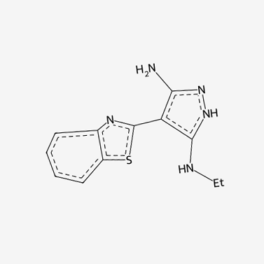 CCNc1[nH]nc(N)c1-c1nc2ccccc2s1